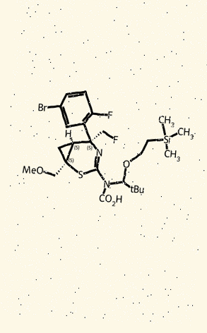 COC[C@]12C[C@H]1[C@@](CF)(c1cc(Br)ccc1F)N=C(N(C(=O)O)C(OCC[Si](C)(C)C)C(C)(C)C)S2